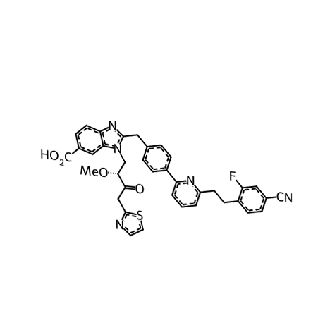 CO[C@H](Cn1c(Cc2ccc(-c3cccc(CCc4ccc(C#N)cc4F)n3)cc2)nc2ccc(C(=O)O)cc21)C(=O)Cc1nccs1